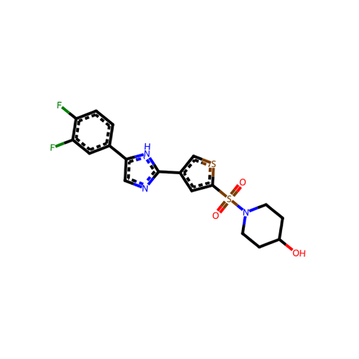 O=S(=O)(c1cc(-c2ncc(-c3ccc(F)c(F)c3)[nH]2)cs1)N1CCC(O)CC1